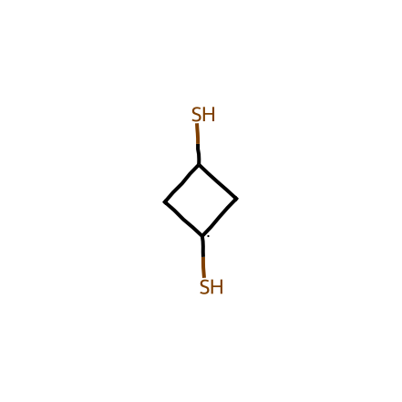 S[C]1CC(S)C1